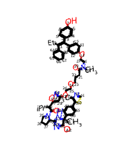 CC/C(=C(\c1ccc(O)cc1)c1ccc(OCCN(C)C(=O)CCCOCCOc2cc(C(C(=O)N3CCC[C@@H]3C3=NC(=O)[C@@](C)(c4ccc(-c5scnc5C)cc4)N3)C(C)C)on2)cc1)c1ccccc1